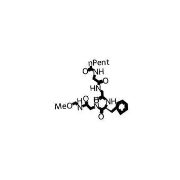 CCCCCC(=O)NCC(=O)NCC(=O)N[C@@H](Cc1ccccc1)C(=O)NCC(=O)NCOC